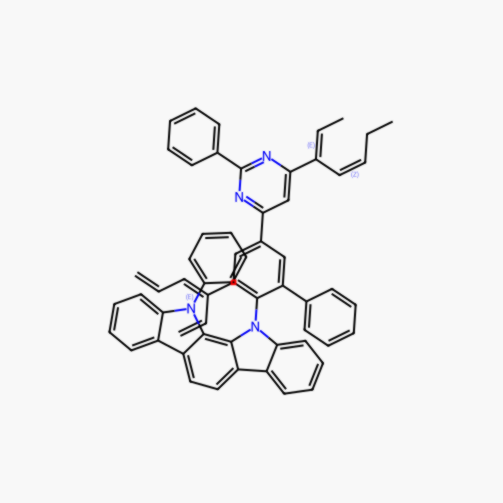 C=C/C=C(\C=C)c1cc(-c2cc(C(/C=C\CC)=C/C)nc(-c3ccccc3)n2)cc(-c2ccccc2)c1-n1c2ccccc2c2ccc3c4ccccc4n(-c4ccccc4)c3c21